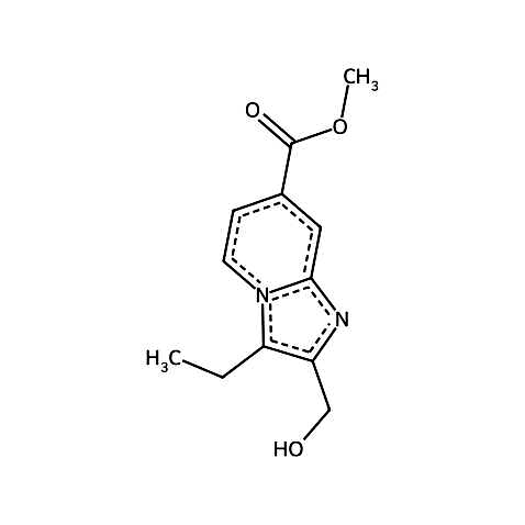 CCc1c(CO)nc2cc(C(=O)OC)ccn12